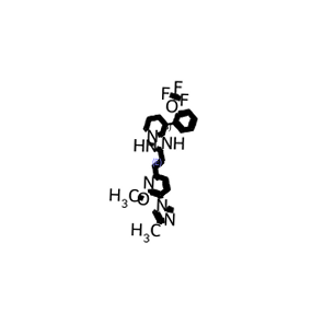 COc1nc(/C=C/C2NC3[C@H](c4ccccc4OC(F)(F)F)CCCN3N2)ccc1-n1cnc(C)c1